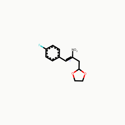 O=[N+]([O-])/C(=C\c1ccc(F)cc1)CC1OCCO1